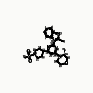 Cc1nc2ccccc2n1-c1nc(C2CCN(S(C)(=O)=O)CC2)cc(N2CCOC[C@H]2C)n1